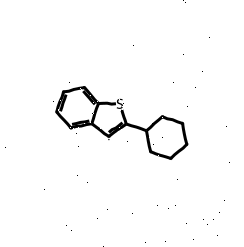 [c]1c(C2CCCCC2)sc2ccccc12